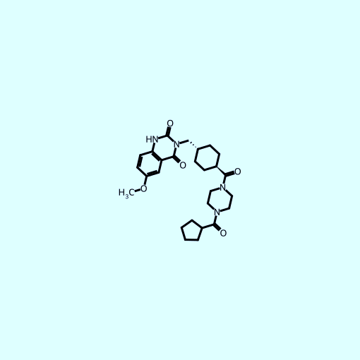 COc1ccc2[nH]c(=O)n(C[C@H]3CC[C@H](C(=O)N4CCN(C(=O)C5CCCC5)CC4)CC3)c(=O)c2c1